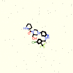 C[C@H](c1ccc(Cl)cc1C(F)(F)F)n1nnc2ccc(N3CCN(C(=O)[C@H]4CCCCN4)C(CO)C3)cc21